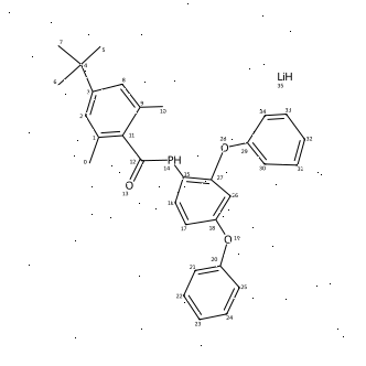 Cc1cc(C(C)(C)C)cc(C)c1C(=O)Pc1ccc(Oc2ccccc2)cc1Oc1ccccc1.[LiH]